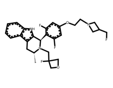 C[C@@H]1Cc2c([nH]c3ccccc23)[C@@H](c2c(F)cc(OCCN3CC(CF)C3)cc2F)N1CC1(F)COC1